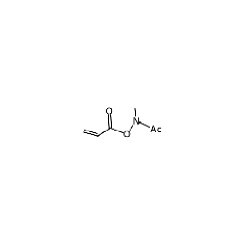 C=CC(=O)ON(C)C(C)=O